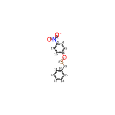 O=[N+]([O-])c1ccc(OSCc2ccccc2)cc1